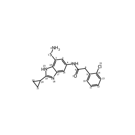 NSc1cc(NC(=O)Cc2ccccc2Cl)cc2nc(C3CC3)[nH]c12